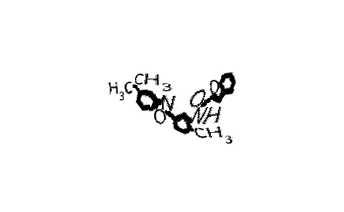 Cc1ccc(-c2nc3cc(C(C)C)ccc3o2)cc1NC(=O)c1cc2ccccc2o1